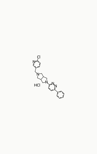 Cl.Clc1ccc(CN2CC3CN(c4ccc(-c5ccccc5)nn4)CC3C2)cn1